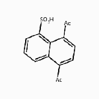 CC(=O)c1ccc(C(C)=O)c2c(S(=O)(=O)O)cccc12